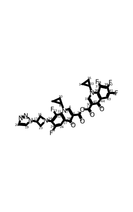 O=C(OC(=O)c1cn(C2CC2)c2c(F)c(N3CC(n4ccnn4)C3)c(F)cc2c1=O)c1cn(C2CC2)c2c(F)c(F)c(F)cc2c1=O